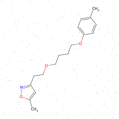 Cc1ccc(OCCCCOCCc2cc(C)on2)cc1